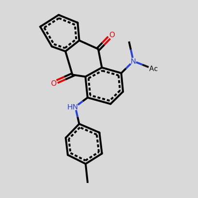 CC(=O)N(C)c1ccc(Nc2ccc(C)cc2)c2c1C(=O)c1ccccc1C2=O